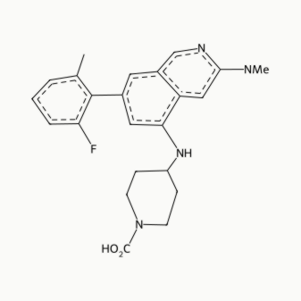 CNc1cc2c(NC3CCN(C(=O)O)CC3)cc(-c3c(C)cccc3F)cc2cn1